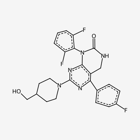 O=C1NCc2c(-c3ccc(F)cc3)nc(N3CCC(CO)CC3)nc2N1c1c(F)cccc1F